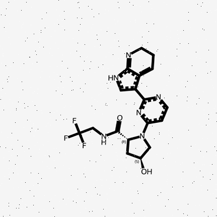 O=C(NCC(F)(F)F)[C@H]1C[C@H](O)CN1c1ccnc(-c2c[nH]c3c2=CCCN=3)n1